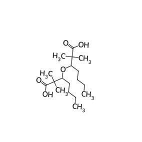 CCCCC(OC(CCCC)C(C)(C)C(=O)O)C(C)(C)C(=O)O